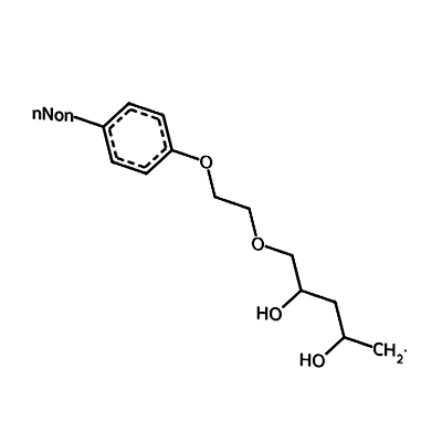 [CH2]C(O)CC(O)COCCOc1ccc(CCCCCCCCC)cc1